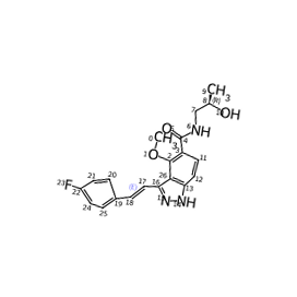 COc1c(C(=O)NC[C@@H](C)O)ccc2[nH]nc(/C=C/c3ccc(F)cc3)c12